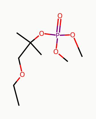 CCOCC(C)(C)OP(=O)(OC)OC